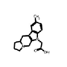 Cc1ccc2c(c1)c1c(n2CC(=O)O)CN2CCCC2C1